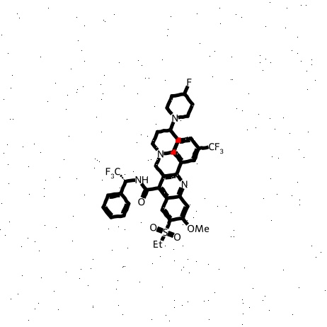 CCS(=O)(=O)c1cc2c(C(=O)N[C@H](c3ccccc3)C(F)(F)F)c(CN3CCC(N4CCC(F)CC4)CC3)c(-c3cccc(C(F)(F)F)c3)nc2cc1OC